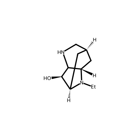 CCN1[C@@H]2C[C@H]3CNC([C@@H]2O)[C@@H]1C3